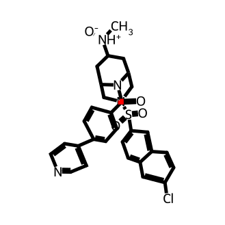 C[NH+]([O-])C1CC2CN(S(=O)(=O)c3ccc4cc(Cl)ccc4c3)CC(C1)N2C(=O)c1ccc(-c2ccncc2)cc1